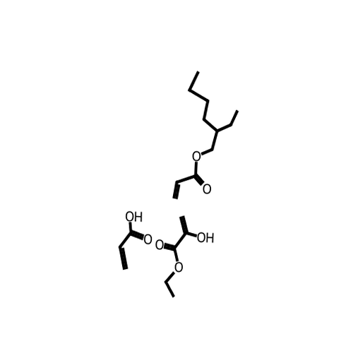 C=C(O)C(=O)OCC.C=CC(=O)O.C=CC(=O)OCC(CC)CCCC